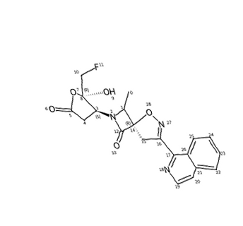 CC1N([C@H]2CC(=O)O[C@@]2(O)CF)C(=O)[C@@]12CC(c1nccc3ccccc13)=NO2